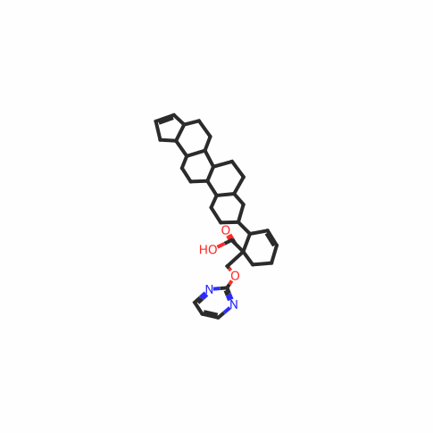 O=C(O)C1(COc2ncccn2)CCC=CC1C1CCC2C(CCC3C2CCC2C4CC=CC4CCC23)C1